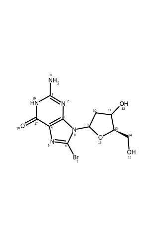 Nc1nc2c(nc(Br)n2C2CC(O)[C@@H](CO)O2)c(=O)[nH]1